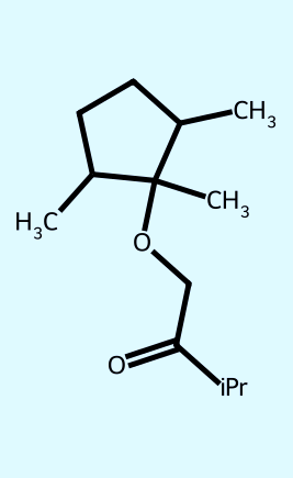 CC(C)C(=O)COC1(C)C(C)CCC1C